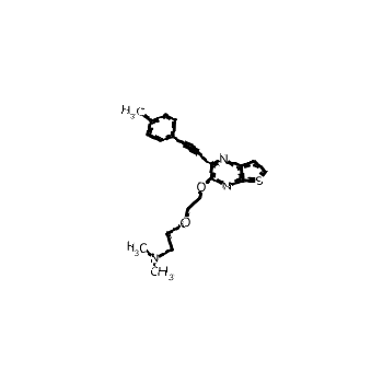 Cc1ccc(C#Cc2nc3ccsc3nc2OCCOCCN(C)C)cc1